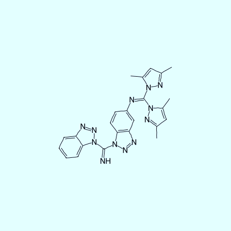 Cc1cc(C)n(C(=Nc2ccc3c(c2)nnn3C(=N)n2nnc3ccccc32)n2nc(C)cc2C)n1